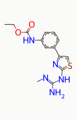 CCOC(=O)Nc1cccc(-c2csc(NC(N)=NC)n2)c1